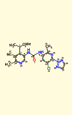 COC(C)c1c(NC(=O)Nc2cc(Cl)c(-n3nccn3)nc2C)cnc(C)c1C#N